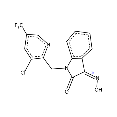 O=C1/C(=N\O)c2ccccc2N1Cc1ncc(C(F)(F)F)cc1Cl